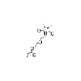 C=CC(=O)OCCOCCN1C(=O)C(C)=C(C)C1=O